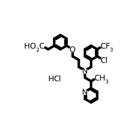 CC(CN(CCCOc1cccc(CC(=O)O)c1)Cc1cccc(C(F)(F)F)c1Cl)c1ccccn1.Cl